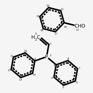 C=CP(c1ccccc1)c1ccccc1.O=Cc1ccccc1